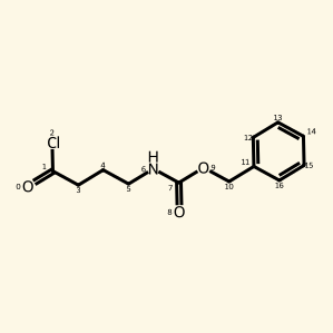 O=C(Cl)CCCNC(=O)OCc1ccccc1